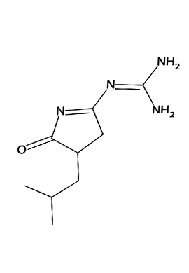 CC(C)CC1CC(N=C(N)N)=NC1=O